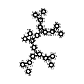 c1ccc(-c2ccccc2-c2nc(-c3ccc(-n4c5ccc(-c6ccc7c(c6)c6ccccc6n7-c6ccccc6)cc5c5cc(-c6ccc7c(c6)c6ccccc6n7-c6ccccc6)ccc54)cc3)cc(-c3ccc(-n4c5ccc(-c6ccc7c(c6)c6ccccc6n7-c6ccccc6)cc5c5cc(-c6ccc7c(c6)c6ccccc6n7-c6ccccc6)ccc54)cc3)n2)cc1